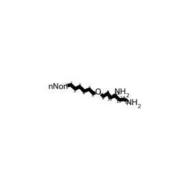 CCCCCCCCCCCCCCCOCCCC(N)CCN